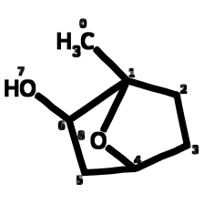 CC12CCC(CC1O)O2